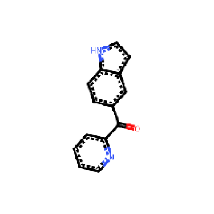 O=C(c1ccc2[nH]ccc2c1)c1ccccn1